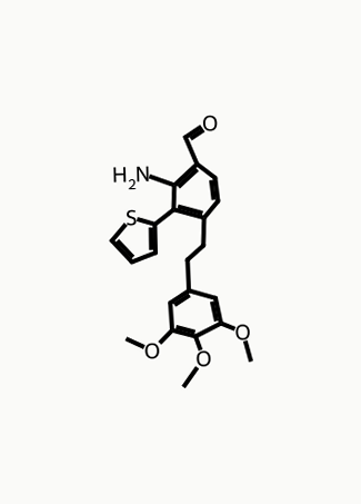 COc1cc(CCc2ccc(C=O)c(N)c2-c2cccs2)cc(OC)c1OC